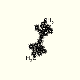 C=Cc1ccc(CSc2ccc(C3(c4ccccc4)c4ccccc4-c4ccc(N(c5ccc(-c6ccccc6)cc5)c5ccc(-c6ccc(N(c7ccc(-c8ccccc8)cc7)c7ccc8c(c7)C(c7ccccc7)(c7ccc(SCc9ccc(C=C)cc9)cc7)c7ccccc7-8)cc6)cc5)cc43)cc2)cc1